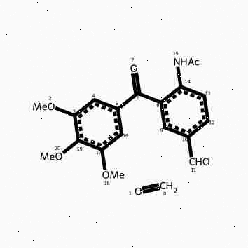 C=O.COc1cc(C(=O)c2cc(C=O)ccc2NC(C)=O)cc(OC)c1OC